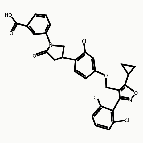 O=C(O)c1cccc(N2CC(c3ccc(OCc4c(-c5c(Cl)cccc5Cl)noc4C4CC4)cc3Cl)CC2=O)c1